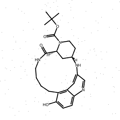 CC(C)(C)OC(=O)N1CC[C@H]2C[C@H]1C(=O)NCCCCc1c(O)ccc3ncc(cc13)N2